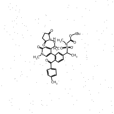 Cc1ccc(C(=O)c2ccc(C(C)S(=O)(=O)N(C)C(=O)OC(C)(C)C)cc2-c2cn(C)c(=O)cc2[C@H](C)NN2C(=O)CCC2=O)cc1